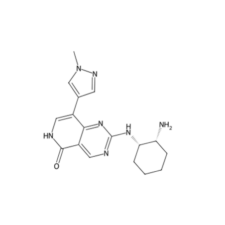 Cn1cc(-c2c[nH]c(=O)c3cnc(N[C@H]4CCCC[C@H]4N)nc23)cn1